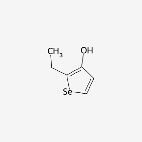 CCc1[se]ccc1O